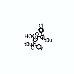 CC(O)C1C[C@H](N(C(=O)C(C)(C)C)C2CCC(C)(C)CC2)CN1C(=O)C1CN(C(C)(C)C)C[C@@H]1c1ccc(Cl)cc1